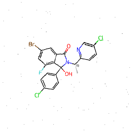 C[C@@H](c1ccc(Cl)cn1)N1C(=O)c2cc(Br)cc(F)c2C1(O)c1ccc(Cl)cc1